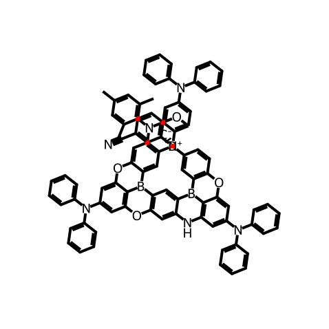 [C-]#[N+]c1ccc2c(c1)B1c3cc4c(cc3Nc3cc(N(c5ccccc5)c5ccccc5)cc(c31)O2)Oc1cc(N(c2ccccc2)c2ccccc2)cc2c1B4c1cc3c(cc1O2)N(c1c(C)cc(C)cc1C)c1cc(N(c2ccccc2)c2ccccc2)cc2c1B3c1cc(C#N)ccc1O2